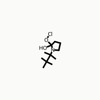 CC(C)(C)C(C)(C)N1CCCC1(O)OCl